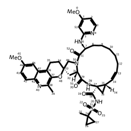 COc1ccnc(N[C@H]2CCCCC/C=C\[C@@H]3C[C@@]3(C(=O)NS(=O)(=O)C3(C)CC3)NC(=O)[C@@H]3C[C@]4(CCc5c(c(C)nc6ccc(OC)cc56)O4)CN3C2=O)c1